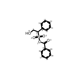 O=C(OS(=O)(=O)C(CO)c1ccccc1)c1ccccc1